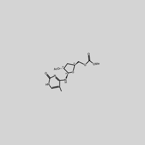 COC(=O)OC[C@@H]1C[C@@H](OC(C)=O)[C@H](Nc2nc(=O)[nH]cc2C)O1